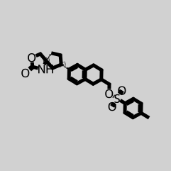 Cc1ccc(S(=O)(=O)OCC2CCc3cc([C@H]4CC[C@]5(COC(=O)N5)C4)ccc3C2)cc1